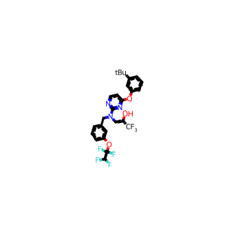 CC(C)(C)c1cccc(Oc2ccnc(N(Cc3cccc(OC(F)(F)C(F)F)c3)CC(O)C(F)(F)F)n2)c1